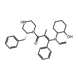 C=CN(/C(=C(\C)C(=O)N1CCNC[C@H]1Cc1ccccc1)c1ccccc1)C1CCCCC1O